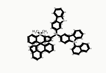 C[Si]1(C)c2ccccc2C2(c3ccccc3-c3cccc4cccc2c34)c2ccc(N(c3ccc4c(c3)sc3ccccc34)c3ccc4c(c3)c3ccccc3n4-c3cccc4ccccc34)cc21